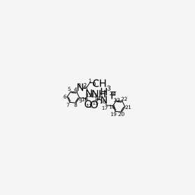 CCc1nc2ccccc2c(=O)n1NC(=O)NCc1ccccc1F